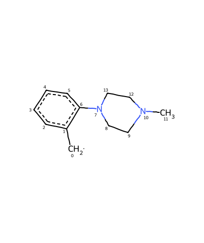 [CH2]c1ccccc1N1CCN(C)CC1